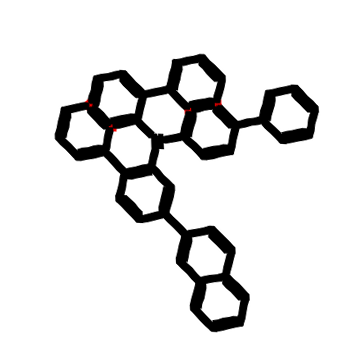 c1ccc(-c2ccc(N(c3ccccc3-c3ccccc3)c3cc(-c4ccc5ccccc5c4)ccc3-c3ccccc3)cc2)cc1